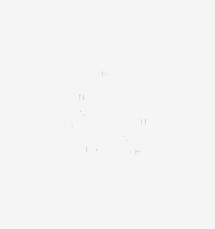 CC(c1cc(Br)nn1C(C)C)N(C)C